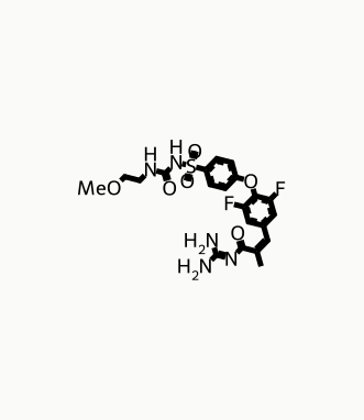 COCCNC(=O)NS(=O)(=O)c1ccc(Oc2c(F)cc(C=C(C)C(=O)N=C(N)N)cc2F)cc1